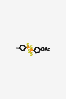 CC(=O)Oc1ccc(P2(=S)SP(=S)(c3ccc(C)cc3)S2)cc1